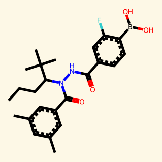 CCCC(N(NC(=O)c1ccc(B(O)O)c(F)c1)C(=O)c1cc(C)cc(C)c1)C(C)(C)C